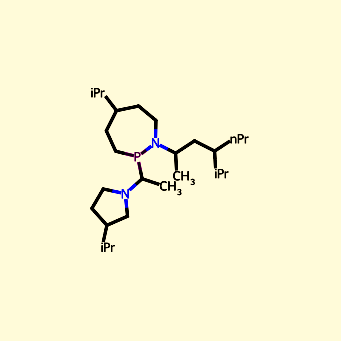 CCCC(CC(C)N1CCC(C(C)C)CCP1C(C)N1CCC(C(C)C)C1)C(C)C